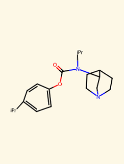 CC(C)c1ccc(OC(=O)N(C(C)C)C2CN3CCC2CC3)cc1